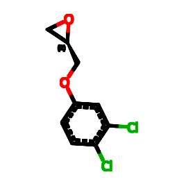 Clc1ccc(OC[C@H]2CO2)cc1Cl